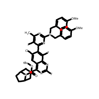 COc1ccc(CN(Cc2ccc(OC)cc2)c2nc(C)c(I)c(-c3c(Cl)cc4c(N5CC6CCC(C5)N6C(=O)OC(C)(C)C)nc(F)nc4c3F)n2)cc1